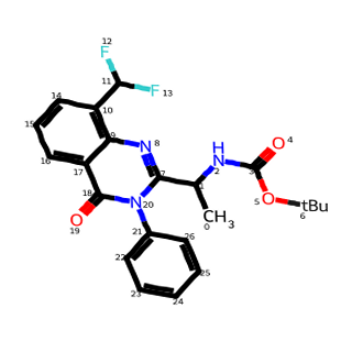 CC(NC(=O)OC(C)(C)C)c1nc2c(C(F)F)cccc2c(=O)n1-c1ccccc1